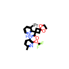 Cc1ccc(NC(=O)C2(c3ncccc3C(C)C)CC3(C2)OCCO3)c(OC(F)F)n1